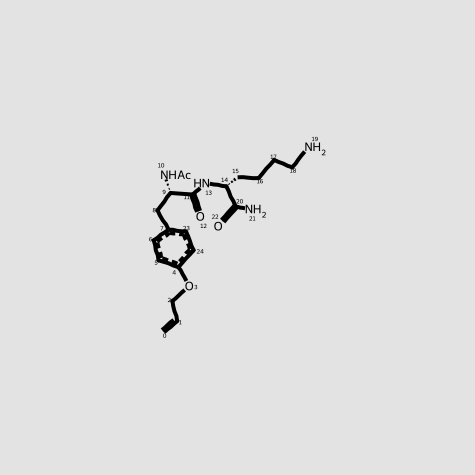 C=CCOc1ccc(C[C@H](NC(C)=O)C(=O)N[C@H](CCCCN)C(N)=O)cc1